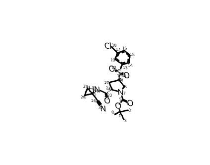 CC(C)(C)OC(=O)N1C[C@H](S(=O)(=O)c2cccc(Cl)c2)C[C@H]1C(=O)NC1(C#N)CC1